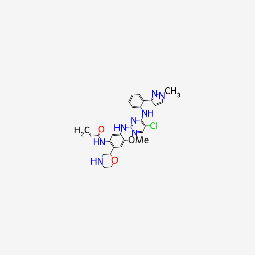 C=CC(=O)Nc1cc(Nc2ncc(Cl)c(Nc3ccccc3-c3ccn(C)n3)n2)c(OC)cc1C1CNCCO1